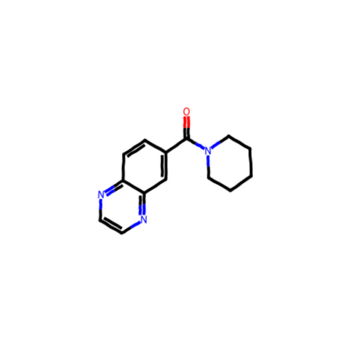 O=C(c1ccc2nccnc2c1)N1CCCCC1